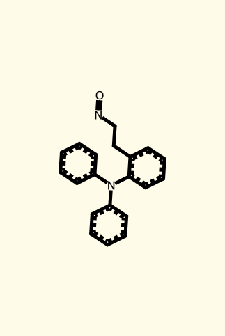 O=NCCc1ccccc1N(c1ccccc1)c1ccccc1